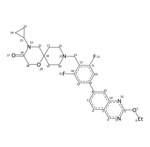 CCOc1ncc2ccc(-c3cc(F)c(CN4CCC5(CC4)CN(C4CC4)C(=O)CO5)c(F)c3)cc2n1